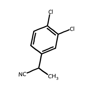 CC(C#N)c1ccc(Cl)c(Cl)c1